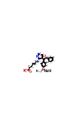 COc1ccc(-c2c(-c3ccccc3)oc3ncnc(NCCCCCC(=O)O)c23)cc1.[NaH]